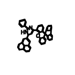 C1=Cc2cc(C3C=C(c4cccc5c4Oc4ccccc4C54c5ccccc5-c5ccccc54)N=C(c4ccccc4)N3)cc3cccc(c23)C1